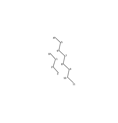 [CH2]CCC.[CH2]CCCCCCC